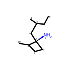 CCC(C)C[C@]1(N)CCC1C